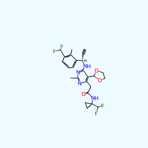 C#C[C@@H](Nc1nc(C)nc(CC(=O)NC2(C(F)F)CC2)c1C1OCCO1)c1cccc(C(F)F)c1C